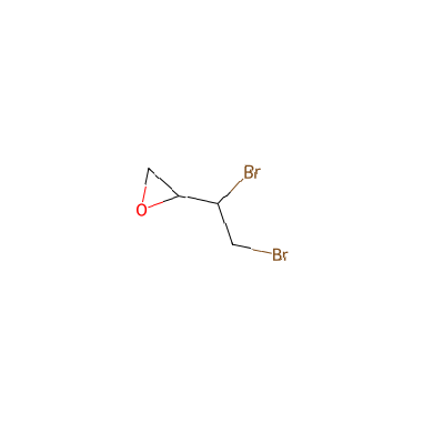 BrCC(Br)C1CO1